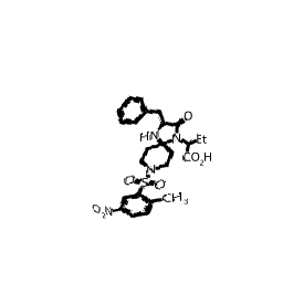 CCC(C(=O)O)N1C(=O)C(Cc2ccccc2)NC12CCN(S(=O)(=O)c1cc([N+](=O)[O-])ccc1C)CC2